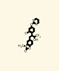 Cn1c(=O)oc2ccc(CC(c3ccc(Oc4ncccn4)cc3Cl)C(O)C(F)(F)F)cc21